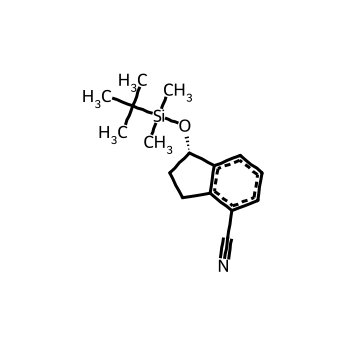 CC(C)(C)[Si](C)(C)O[C@H]1CCc2c(C#N)cccc21